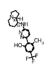 Cc1cc(C(F)(F)F)cc(O)c1-c1ccc(N[C@H]2CCCN3CCC[C@H]23)nn1